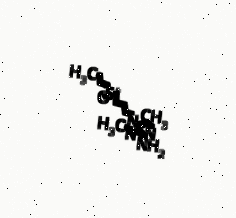 CCCC[S+]([O-])CCCCCn1c(C)nc2c(N)ncc(C)c21